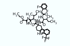 CCOC(=O)c1noc([C@@H](NC(=O)C2(NC(=O)C(NC(=O)Cc3c(F)cccc3F)C(C)CC)CCc3[nH]c4c(C(F)(F)F)cccc4c3C2)C(C)CC)n1